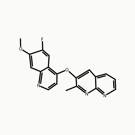 COc1cc2nccc(Oc3cc4cccnc4nc3C)c2cc1F